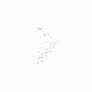 CCCCC(CC)C(=O)[O-].CCCCC(CC)C(=O)[O-].CCCCC(CC)C(=O)[O-].CCCCC(CC)C(=O)[O-].CCCCC(CC)C(=O)[O-].CCCCC(CC)C(=O)[O-].[Eu+3].[Sm+3]